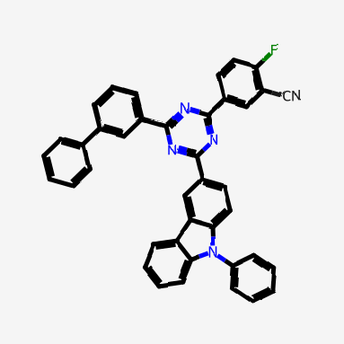 N#Cc1cc(-c2nc(-c3cccc(-c4ccccc4)c3)nc(-c3ccc4c(c3)c3ccccc3n4-c3ccccc3)n2)ccc1F